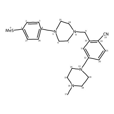 CSc1ccc(N2CCN(Cc3cc(N4CCN(C)CC4)ccc3C#N)CC2)cc1